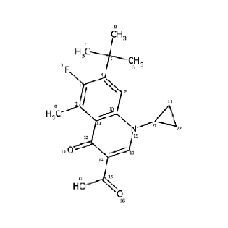 Cc1c(F)c(C(C)(C)C)cc2c1c(=O)c(C(=O)O)cn2C1CC1